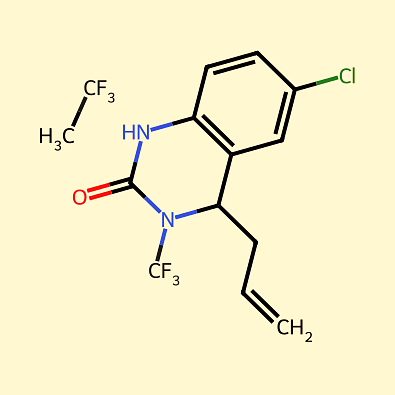 C=CCC1c2cc(Cl)ccc2NC(=O)N1C(F)(F)F.CC(F)(F)F